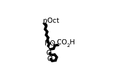 CCCCCCCCC=CCCCCCCC[C@@H](C[C@H](O)CC(=O)O)OC1CCCCO1